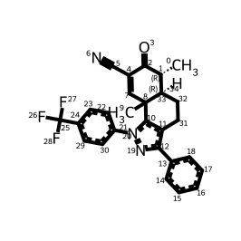 C[C@H]1C(=O)C(C#N)=CC2(C)c3c(c(-c4ccccc4)nn3-c3ccc(C(F)(F)F)cc3)CC[C@H]12